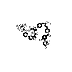 CN(CCC1CCN(C(=O)c2ccc(Cl)c(N3CCC(=O)NC3=O)c2)CC1)CC1CCC(n2cc(NC(=O)c3cnn4ccc(N5CCC[C@H](NC(=O)OC(C)(C)C)C5)nc34)c(C(F)F)n2)CC1